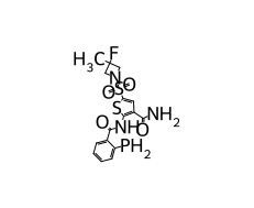 CC1(F)CN(S(=O)(=O)c2cc(C(N)=O)c(NC(=O)c3ccccc3P)s2)C1